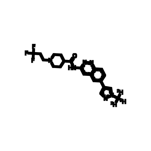 [2H]C([2H])([2H])n1cc(-c2ccc3nnc(NC(=O)C4CCN(CCC(F)(F)F)CC4)cc3c2)cn1